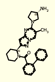 Cc1cn2nc([C@@H]3CCCCN3C(=O)c3ccccc3-c3ccccc3)cc2nc1N1CC[C@H](N)C1